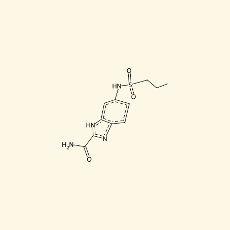 CCCS(=O)(=O)Nc1ccc2nc(C(N)=O)[nH]c2c1